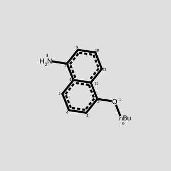 CCCCOc1cccc2c(N)cccc12